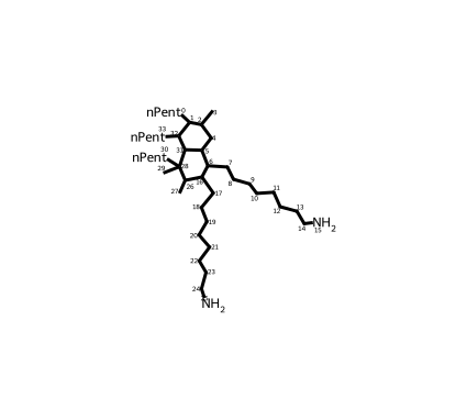 CCCCCC1C(C)CC2C(CCCCCCCCN)C(CCCCCCCCN)C(C)C(C)(CCCCC)C2C1CCCCC